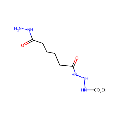 CCOC(=O)NNNC(=O)CCCCC(=O)NN